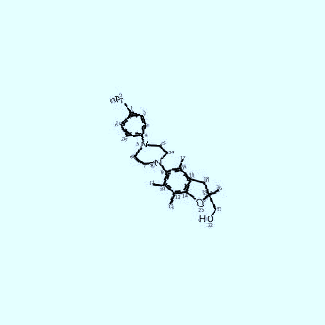 CCCc1ccc(N2CCN(c3c(C)c(C)c4c(c3C)CC(C)(CO)O4)CC2)cc1